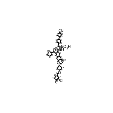 CN1CC(c2ccc(OCc3ccc(Cl)c(Cl)c3)cc2)Oc2cc3c(cc21)CC(C(=O)N[C@@H](Cc1ccc(-c2ccc(C#N)cc2)cc1)C(=O)O)N(C(=O)c1ccccc1)C3